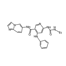 CCNC(=O)Nc1cc(Nc2ccccc2)c(C(=O)Nc2ccc3nccn3c2)cn1